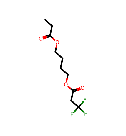 CCC(=O)OCCCCOC(=O)CC(F)(F)F